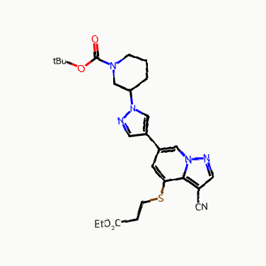 CCOC(=O)CCSc1cc(-c2cnn(C3CCCN(C(=O)OC(C)(C)C)C3)c2)cn2ncc(C#N)c12